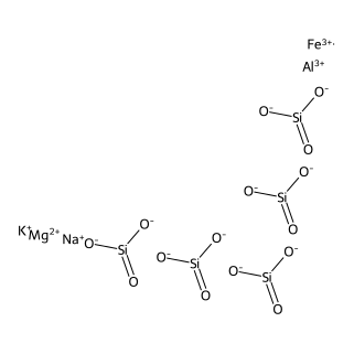 O=[Si]([O-])[O-].O=[Si]([O-])[O-].O=[Si]([O-])[O-].O=[Si]([O-])[O-].O=[Si]([O-])[O-].[Al+3].[Fe+3].[K+].[Mg+2].[Na+]